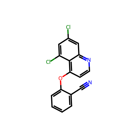 N#Cc1ccccc1Oc1ccnc2cc(Cl)cc(Cl)c12